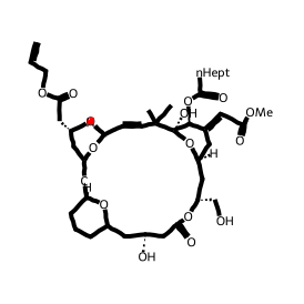 C=CCOC(=O)C[C@H]1CC2C[C@H]3CCCC(C[C@@H](O)CC(=O)O[C@@H](CO)C[C@@H]4C/C(=C\C(=O)OC)[C@H](OC(=O)CCCCCCC)[C@@](O)(O4)C(C)(C)/C=C/[C@H](O2)O1)O3